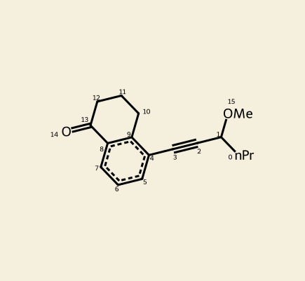 CCCC(C#Cc1cccc2c1CCCC2=O)OC